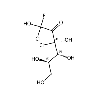 O=C(C(O)(F)Cl)[C@](O)(Cl)[C@H](O)[C@H](O)CO